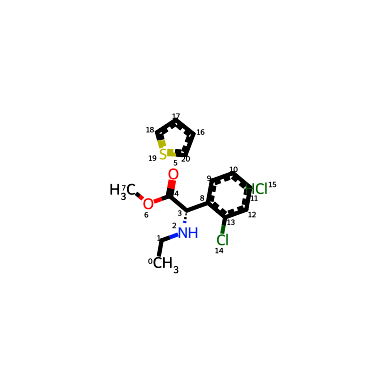 CCN[C@H](C(=O)OC)c1ccccc1Cl.Cl.c1ccsc1